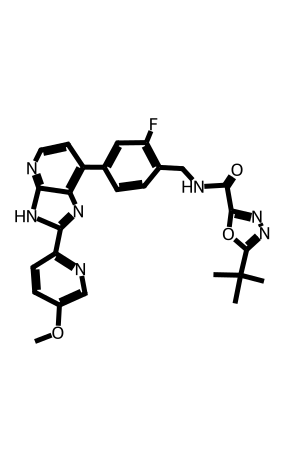 COc1ccc(-c2nc3c(-c4ccc(CNC(=O)c5nnc(C(C)(C)C)o5)c(F)c4)ccnc3[nH]2)nc1